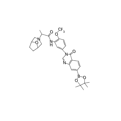 CC(C(=O)Nc1cc(-n2cnc3cc(B4OC(C)(C)C(C)(C)O4)ccc3c2=O)ccc1OC(F)(F)F)N1CC2CCC(C1)O2